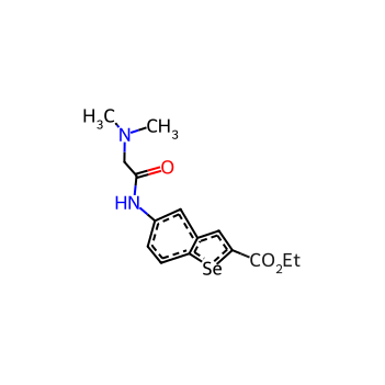 CCOC(=O)c1cc2cc(NC(=O)CN(C)C)ccc2[se]1